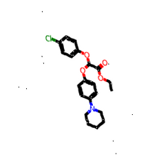 CCOC(=O)C(Oc1ccc(Cl)cc1)Oc1ccc(N2CCCCC2)cc1